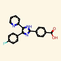 O=C(O)c1ccc(-c2nc(-c3ccc(F)cc3)c(-c3ccccn3)[nH]2)cc1